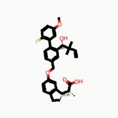 C=CC(C)(C)[C@@H](O)c1cc(COc2ccc3c(c2)[C@H]([C@@H](C)C(=O)O)CC3)ccc1-c1cc(OC)ccc1F